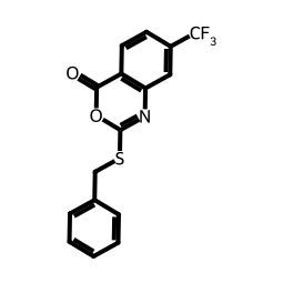 O=c1oc(SCc2ccccc2)nc2cc(C(F)(F)F)ccc12